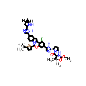 COC(=O)N[C@H](C(=O)N1CCC[C@H]1c1ncc(-c2cc(F)c3c(c2)OC(c2ccc(C(C)C)s2)n2c-3cc3cc(-c4cnc(C5C[C@@H]6C[C@@H]6N5)[nH]4)ccc32)[nH]1)C(C)C